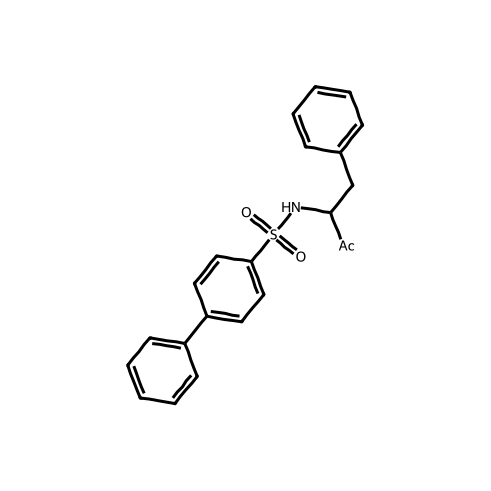 CC(=O)C(Cc1ccccc1)NS(=O)(=O)c1ccc(-c2ccccc2)cc1